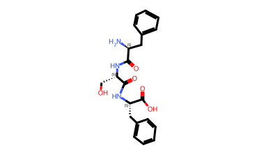 N[C@@H](Cc1ccccc1)C(=O)N[C@@H](CO)C(=O)N[C@@H](Cc1ccccc1)C(=O)O